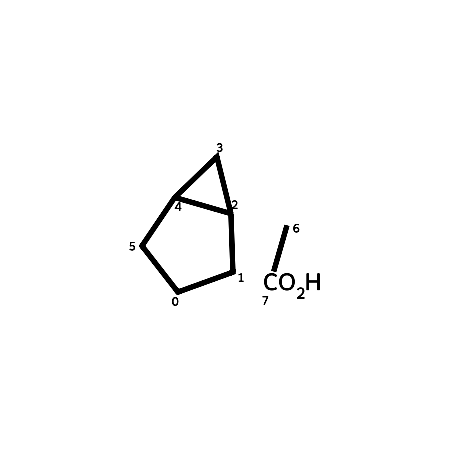 C1CC2CC2C1.CC(=O)O